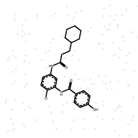 O=C(CCC1CCCCC1)Nc1ccc(Cl)c(NC(=O)c2ccc(O)cc2)c1